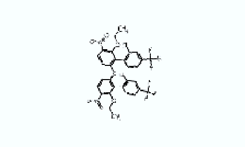 CCOc1c([N+](=O)[O-])ccc(Oc2ccc([N+](=O)[O-])c(OCC)c2-c2ccc(C(F)(F)F)cc2Cl)c1-c1ccc(C(F)(F)F)cc1Cl